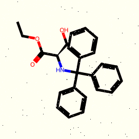 CCOC(=O)[C@@H](CO)NC(c1ccccc1)(c1ccccc1)c1ccccc1